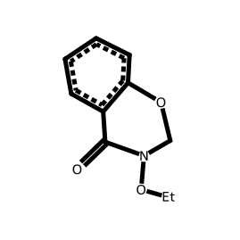 CCON1COc2ccccc2C1=O